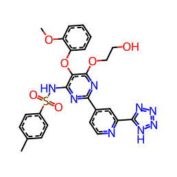 COc1ccccc1Oc1c(NS(=O)(=O)c2ccc(C)cc2)nc(-c2ccnc(-c3nnn[nH]3)c2)nc1OCCO